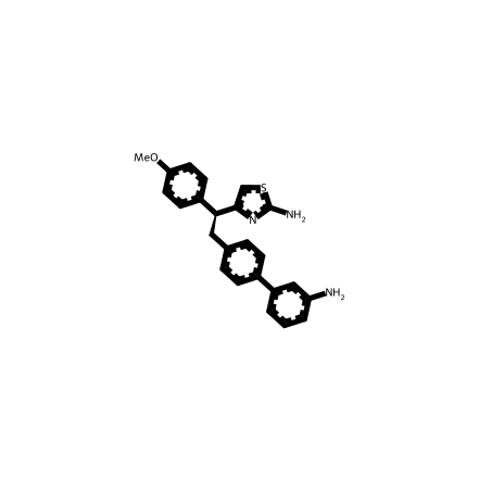 COc1ccc([C@H](Cc2ccc(-c3cccc(N)c3)cc2)c2csc(N)n2)cc1